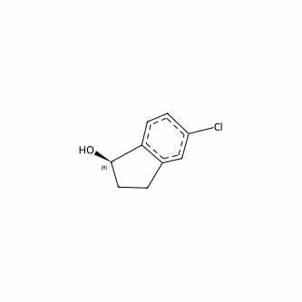 O[C@@H]1CCc2cc(Cl)ccc21